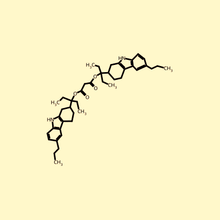 CCCc1ccc2[nH]c3c(c2c1)CCC(C(CC)(CC)OC(=O)CC(=O)OC(CC)(CC)C1CCc2c([nH]c4ccc(CCC)cc24)C1)C3